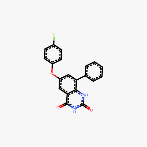 O=c1[nH]c(=O)c2cc(Oc3ccc(F)cc3)cc(-c3ccccc3)c2[nH]1